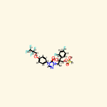 C[C@@H](n1ncn(-c2ccc(OCC(F)(F)C(F)F)cc2)c1=O)[C@](O)(COS(C)(=O)=O)c1ccc(F)cc1F